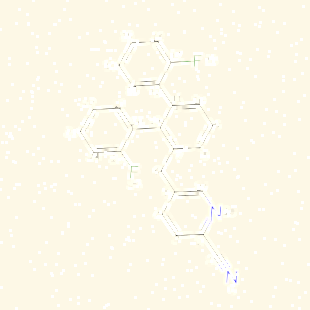 N#Cc1ccc(Cc2cccc(-c3ccccc3F)c2-c2ccccc2F)cn1